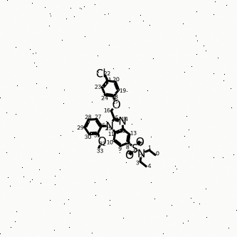 CCN(CC)S(=O)(=O)c1ccc2c(c1)nc(COc1ccc(Cl)cc1)n2-c1ccccc1OC